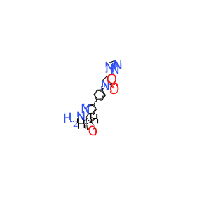 N[C@]1(c2ccc(-c3ccc(N4C[C@H](Cn5ccnn5)OC4=O)cc3)cn2)[C@@H]2COC[C@@H]21